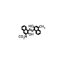 Cc1cc(O)c(N=Nc2c(O)c(C(=O)O)cc3ccccc23)c2ccccc12